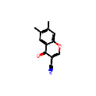 Cc1cc2occ(C#N)c(=O)c2cc1C